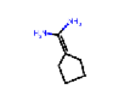 NC(N)=C1CCCC1